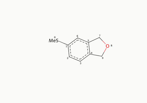 CSc1ccc2c(c1)COC2